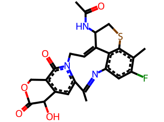 CC(=O)NC1CSc2c(C)c(F)cc3c2/C1=C/Cn1c(cc2c(c1=O)COC(=O)C2O)/C(C)=N/3